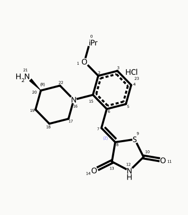 CC(C)Oc1cccc(/C=C2\SC(=O)NC2=O)c1N1CCC[C@@H](N)C1.Cl